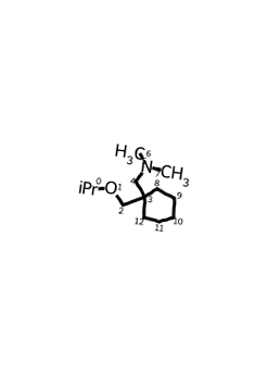 CC(C)OCC1(CN(C)C)CCCCC1